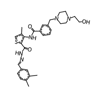 Cc1ccc(C=NNC(=O)c2scc(C)c2NC(=O)c2cccc(CN3CCN(CCO)CC3)c2)cc1C